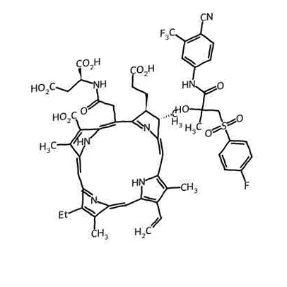 C=Cc1c(C)c2cc3nc(c(CC(=O)N[C@@H](CC(=O)O)C(=O)O)c4[nH]c(cc5nc(cc1[nH]2)C(C)=C5CC)c(C)c4C(=O)O)[C@@H](CCC(=O)O)[C@@H]3C.CC(O)(CS(=O)(=O)c1ccc(F)cc1)C(=O)Nc1ccc(C#N)c(C(F)(F)F)c1